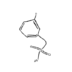 CC(C)S(=O)(=O)Cc1cccc(F)c1